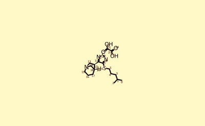 CC(C)CCCSc1nsnc1[C@@H]1CN2CCC[C@@H]1C2.O=C(O)C(=O)O